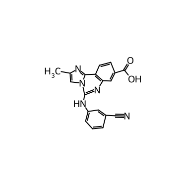 Cc1cn2c(Nc3cccc(C#N)c3)nc3cc(C(=O)O)ccc3c2n1